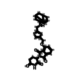 O=C1CCC(N2C(=O)c3cccc(OCc4csc(CNC56CC7CC(CC(C7)C5)C6)n4)c3C2=O)C(=O)N1